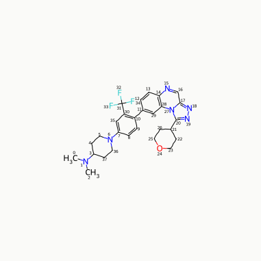 CN(C)C1CCN(c2ccc(-c3ccc4ncc5nnc(C6CCOCC6)n5c4c3)c(C(F)(F)F)c2)CC1